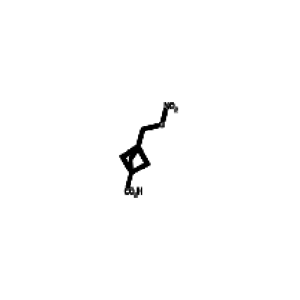 O=C(O)C12CC(CO[N+](=O)[O-])(C1)C2